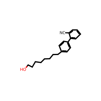 N#Cc1ccccc1-c1ccc(CCCCCCCCO)cc1